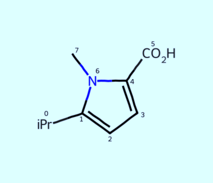 CC(C)c1ccc(C(=O)O)n1C